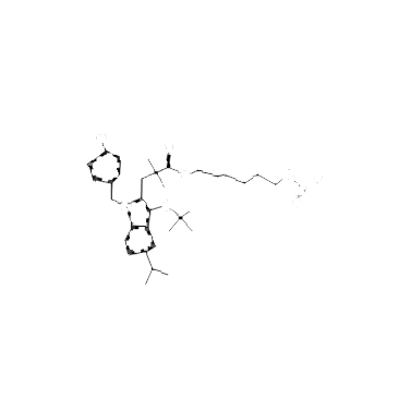 CC(C)c1ccc2c(c1)c(SC(C)(C)C)c(CC(C)(C)C(=O)OCCCCCCO[N+](=O)[O-])n2Cc1ccc(Cl)cc1